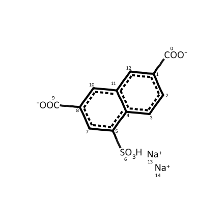 O=C([O-])c1ccc2c(S(=O)(=O)O)cc(C(=O)[O-])cc2c1.[Na+].[Na+]